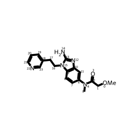 COCC(=O)N(C)c1ccc2c(c1)nc(N)n2CCc1cccnc1